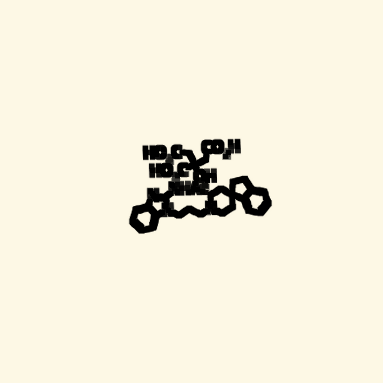 CC(=O)Nc1nc2ccccc2n1CCCN1CCC2(CCc3ccccc32)CC1.O=C(O)CC(O)(CC(=O)O)C(=O)O